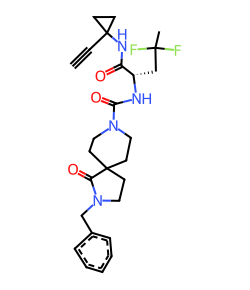 C#CC1(NC(=O)[C@H](CC(C)(F)F)NC(=O)N2CCC3(CC2)CCN(Cc2ccccc2)C3=O)CC1